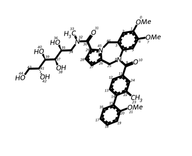 COc1cc2c(cc1OC)N(C(=O)c1ccc(-c3ccccc3OC)c(C)c1)Cc1ccc(C(=O)N(C)C[C@H](O)[C@@H](O)[C@H](O)[C@H](O)CO)n1C2